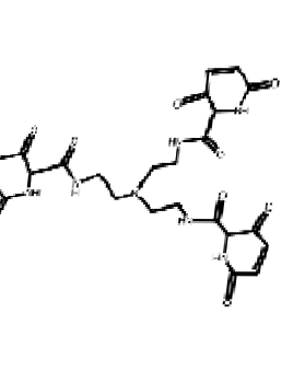 O=C1C=CC(=O)C(C(=O)NCCN(CCNC(=O)C2NC(=O)C=CC2=O)CCNC(=O)C2NC(=O)C=CC2=O)N1